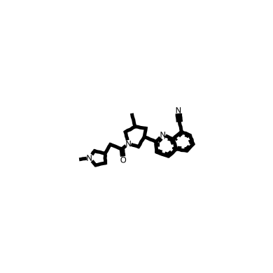 CC1CC(c2ccc3cccc(C#N)c3n2)CN(C(=O)CC2CCN(C)C2)C1